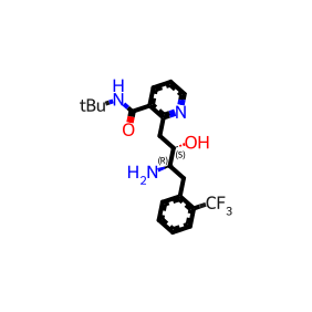 CC(C)(C)NC(=O)c1cccnc1C[C@H](O)[C@H](N)Cc1ccccc1C(F)(F)F